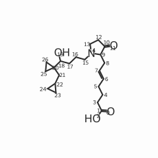 O=C(O)CCCC=CCC1C(=O)CCN1CCCC(O)C1(CC2CC2)CC1